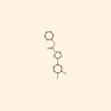 O=C(Oc1ccccc1)n1cnc(-c2ccc(F)c(F)c2)c1